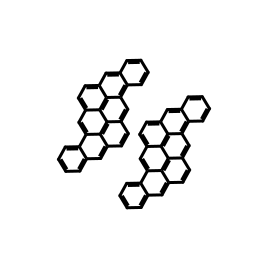 c1ccc2c(c1)cc1ccc3cc4c5ccccc5cc5ccc6cc2c1c3c6c54.c1ccc2c(c1)cc1ccc3cc4c5ccccc5cc5ccc6cc2c1c3c6c54